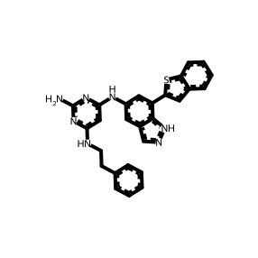 Nc1nc(NCCc2ccccc2)cc(Nc2cc(-c3cc4ccccc4s3)c3[nH]ncc3c2)n1